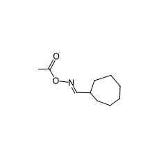 CC(=O)O/N=C/C1CCCCCC1